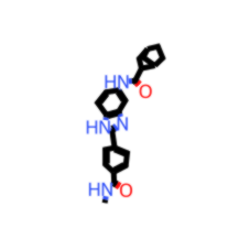 CNC(=O)c1ccc(-c2nc3cc(NC(=O)C4CC5CCC4C5)ccc3[nH]2)cc1